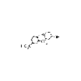 O=C(O)c1ccc(CN2CCC(O)CC2)c(C(F)(F)F)c1